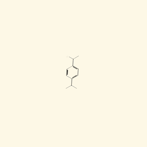 CC(C)c1ccc(C(C)Br)cc1